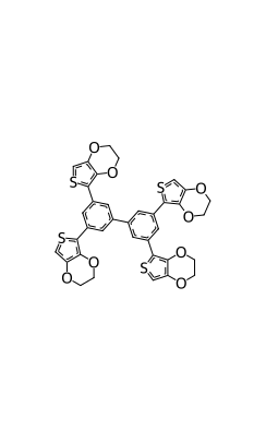 c1c(-c2cc(-c3scc4c3OCCO4)cc(-c3scc4c3OCCO4)c2)cc(-c2scc3c2OCCO3)cc1-c1scc2c1OCCO2